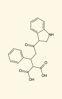 O=C(CC(c1ccccc1)C(C(=O)O)C(=O)O)C1CNc2ccccc21